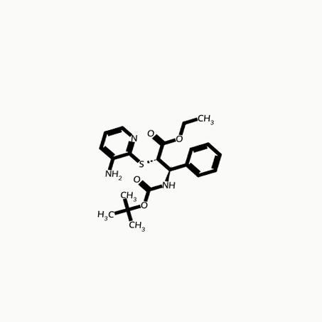 CCOC(=O)[C@@H](Sc1ncccc1N)[C@H](NC(=O)OC(C)(C)C)c1ccccc1